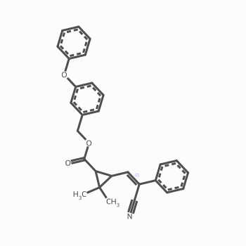 CC1(C)C(/C=C(\C#N)c2ccccc2)C1C(=O)OCc1cccc(Oc2ccccc2)c1